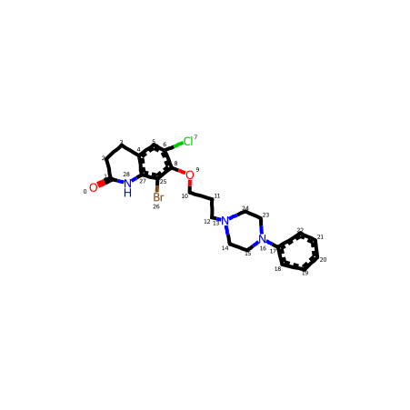 O=C1CCc2cc(Cl)c(OCCCN3CCN(c4ccccc4)CC3)c(Br)c2N1